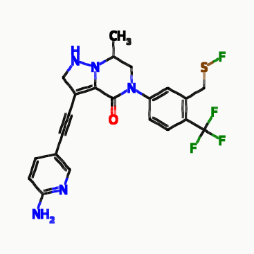 CC1CN(c2ccc(C(F)(F)F)c(CSF)c2)C(=O)C2=C(C#Cc3ccc(N)nc3)CNN21